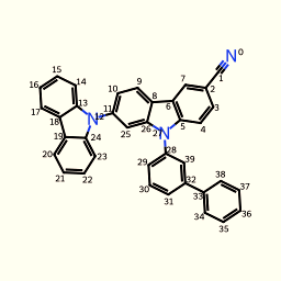 N#Cc1ccc2c(c1)c1ccc(-n3c4ccccc4c4ccccc43)cc1n2-c1cccc(-c2ccccc2)c1